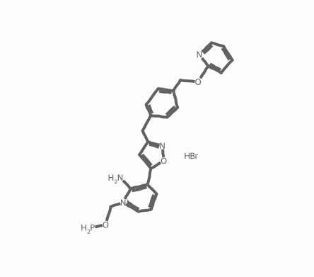 Br.Nc1c(-c2cc(Cc3ccc(COc4ccccn4)cc3)no2)ccc[n+]1COP